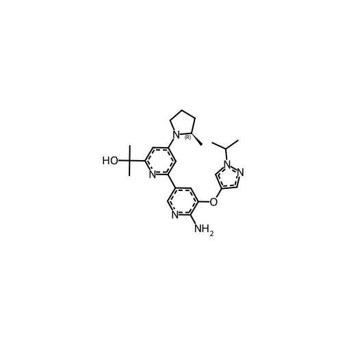 CC(C)n1cc(Oc2cc(-c3cc(N4CCC[C@H]4C)cc(C(C)(C)O)n3)cnc2N)cn1